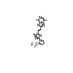 Cc1ncc(C)n2nc(C=Cc3nc(N4CCC[C@@H]4C(F)(F)F)nn3C)nc12